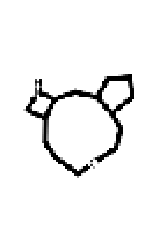 C1CCCC2CNC2CC2CCCC2CC1